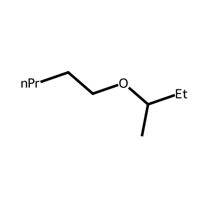 CCCCCOC(C)CC